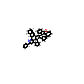 c1ccc(-c2cc(-c3ccccc3-c3cccc4c3-c3ccccc3[C@@]43c4ccccc4-c4oc5ccccc5c43)cc(-c3ccc4ccccc4c3)n2)cc1